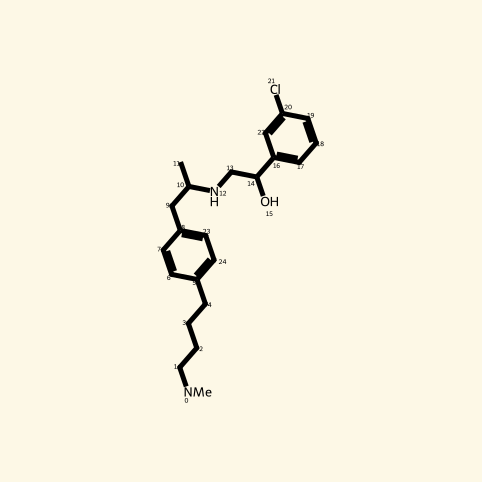 CNCCCCc1ccc(CC(C)NCC(O)c2cccc(Cl)c2)cc1